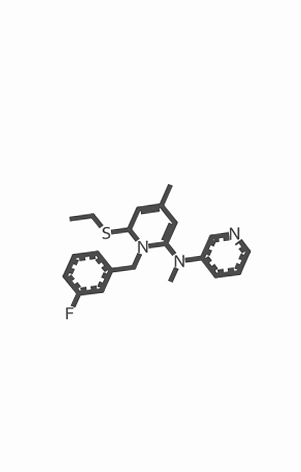 CCSC1C=C(C)C=C(N(C)c2cccnc2)N1Cc1cccc(F)c1